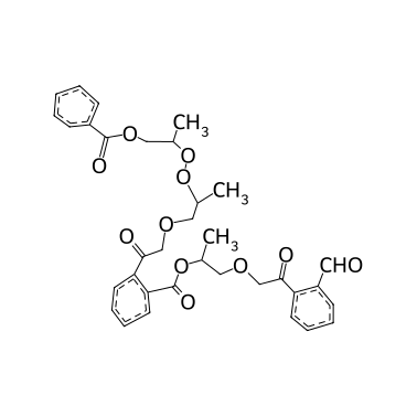 CC(COCC(=O)c1ccccc1C(=O)OC(C)COCC(=O)c1ccccc1C=O)OOC(C)COC(=O)c1ccccc1